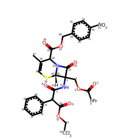 CCCC(=O)OCC1(NC(=O)C(C(=O)OCC(Cl)(Cl)Cl)c2ccccc2)C(=O)N2C(C(=O)OCc3ccc([N+](=O)[O-])cc3)C(C)=CS[C@H]21